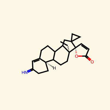 CC[C@]12CCC3C(CCC4=CC(=N)CC[C@@H]43)C1CC1(CC1)[C@@]21C=CC(=O)O1